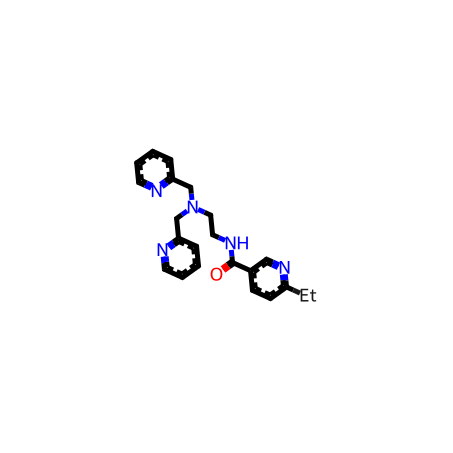 CCc1ccc(C(=O)NCCN(Cc2ccccn2)Cc2ccccn2)cn1